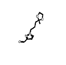 CC1(CCCn2ccc(C=O)n2)OCCO1